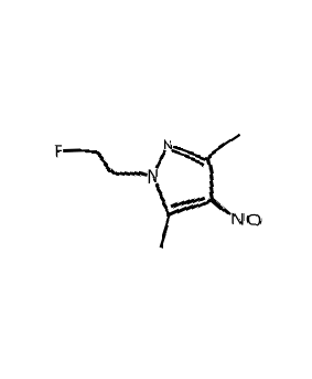 Cc1nn(CCF)c(C)c1N=O